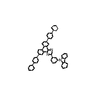 C1=CCCC(c2ccc(-c3ccc4c5ccc(-c6ccc(-c7ccccc7)cc6)cc5c5nc(-c6cccc(-n7c8ccccc8c8ccccc87)c6)cnc5c4c3)cc2)=C1